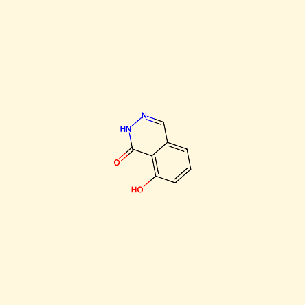 O=c1[nH]ncc2cccc(O)c12